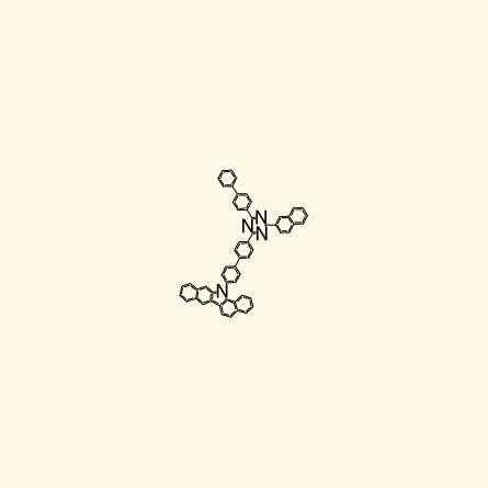 c1ccc(-c2ccc(-c3nc(-c4ccc(-c5ccc(-n6c7cc8ccccc8cc7c7ccc8ccccc8c76)cc5)cc4)nc(-c4ccc5ccccc5c4)n3)cc2)cc1